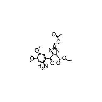 CCOC(=O)c1nn(COC(C)=O)nc1C(=O)c1cc(OC)c(OC)cc1N